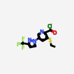 CCSc1cc(-n2ccc(C(F)(F)F)n2)cnc1C(=O)Cl